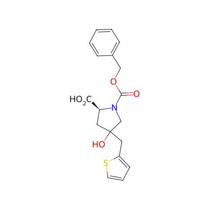 O=C(O)[C@@H]1CC(O)(Cc2cccs2)CN1C(=O)OCc1ccccc1